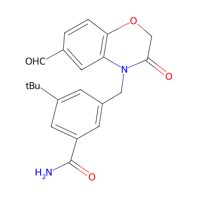 CC(C)(C)c1cc(CN2C(=O)COc3ccc(C=O)cc32)cc(C(N)=O)c1